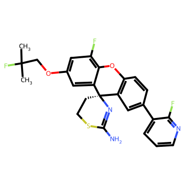 CC(C)(F)COc1cc(F)c2c(c1)[C@@]1(CCSC(N)=N1)c1cc(-c3cccnc3F)ccc1O2